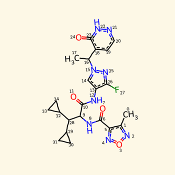 Cc1nonc1C(=O)NC(C(=O)Nc1cn(C(C)c2ccn[nH]c2=O)nc1F)C(C1CC1)C1CC1